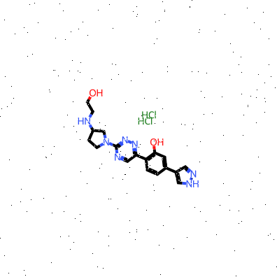 Cl.Cl.OCCNC1CCN(c2ncc(-c3ccc(-c4cn[nH]c4)cc3O)nn2)C1